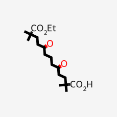 CCOC(=O)C(C)(C)CCC(=O)CCCC(=O)CCC(C)(C)C(=O)O